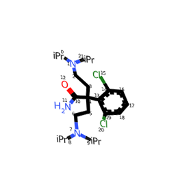 CC(C)N(CCC(CCN(C(C)C)C(C)C)(C(N)=O)c1c(Cl)cccc1Cl)C(C)C